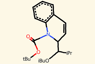 CC(C)COC(C(C)C)C1C=Cc2ccccc2N1C(=O)OC(C)(C)C